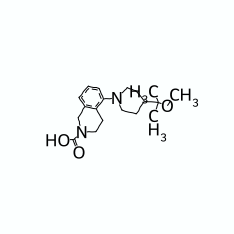 COC(C)(C)C1CCN(c2cccc3c2CCN(C(=O)O)C3)CC1